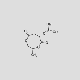 CC1COC(=O)CCC(=O)O1.O=C(O)O